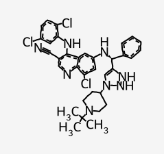 CC(C)(C)N1CCC(N2C=C([C@@H](Nc3cc(Cl)c4ncc(C#N)c(Nc5cc(Cl)ccc5Cl)c4c3)c3ccccc3)NN2)CC1